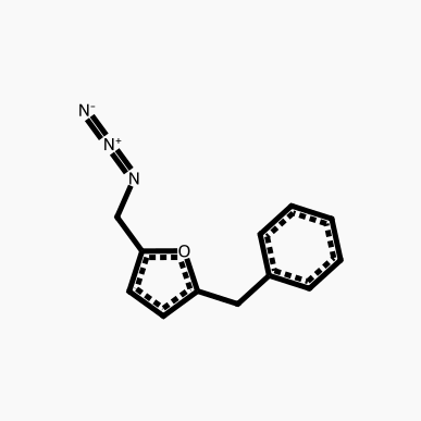 [N-]=[N+]=NCc1ccc(Cc2ccccc2)o1